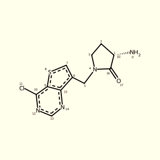 N[C@H]1CCN(Cc2csc3c(Cl)ncnc23)C1=O